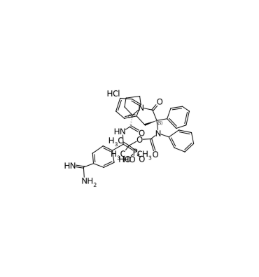 CC(C)(C)OC(=O)N(c1ccccc1)[C@](Cc1ccccc1)(C(=O)N1CCC[C@H]1C(=O)NC(c1ccc(C(=N)N)cc1)P(=O)(O)O)c1ccccc1.Cl